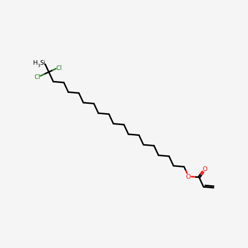 C=CC(=O)OCCCCCCCCCCCCCCCCCCC([SiH3])(Cl)Cl